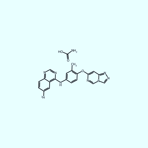 NC(=O)O.[2H]c1ccc2ncnc(Nc3ccc(Oc4cc5nncn5cn4)c(C)c3)c2c1